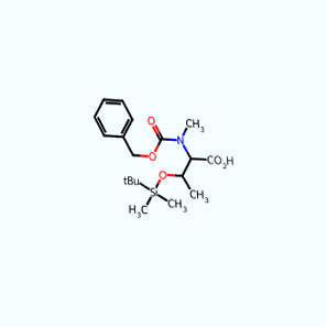 CC(O[Si](C)(C)C(C)(C)C)C(C(=O)O)N(C)C(=O)OCc1ccccc1